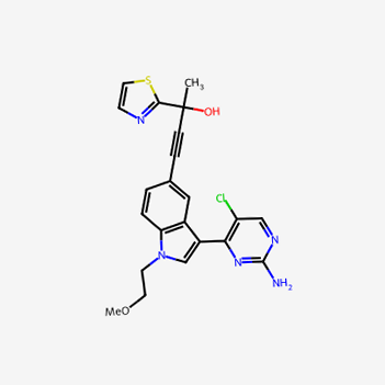 COCCn1cc(-c2nc(N)ncc2Cl)c2cc(C#CC(C)(O)c3nccs3)ccc21